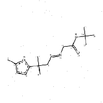 Cc1ccc(C(C)(C)C/C=N/CC(=O)OC(C)(C)C)o1